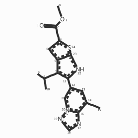 COC(=O)c1cc2c(C(C)C)c(-c3cc(C)c4ncnn4c3)[nH]c2s1